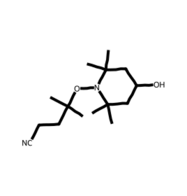 CC(C)(CCC#N)ON1C(C)(C)CC(O)CC1(C)C